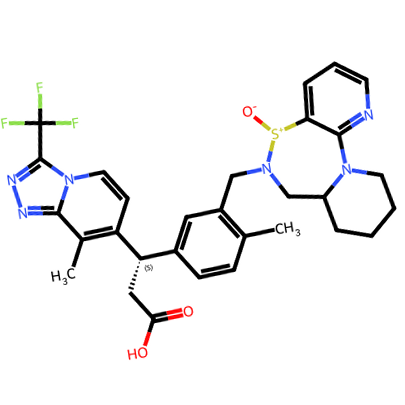 Cc1ccc([C@H](CC(=O)O)c2ccn3c(C(F)(F)F)nnc3c2C)cc1CN1CC2CCCCN2c2ncccc2[S+]1[O-]